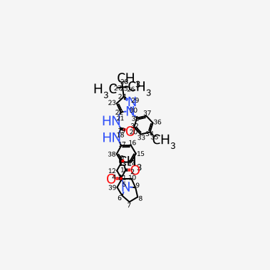 CC(=O)C(=O)N1C2CCC1CC(Cc1cccc(NC(=O)Nc3cc(C(C)(C)C)nn3-c3ccc(C)cc3)c1)C2